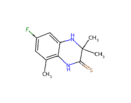 Cc1cc(F)cc2c1NC(=S)C(C)(C)N2